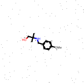 COc1ccc(CNC(C)(C)CO)cc1